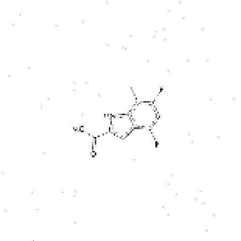 Cc1c(F)cc(F)c2cc(C(=O)O)[nH]c12